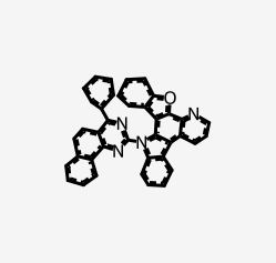 c1ccc(-c2nc(-n3c4ccccc4c4c5cccnc5c5oc6ccccc6c5c43)nc3c2ccc2ccccc23)cc1